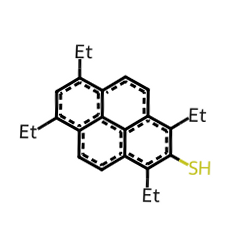 CCc1cc(CC)c2ccc3c(CC)c(S)c(CC)c4ccc1c2c43